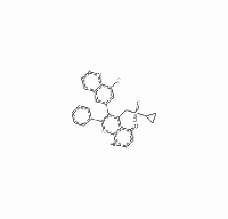 O=c1cc[nH]c2nc(-c3ccccc3)c(-c3cc(Cl)c4ncccc4c3)c(CS(=O)(=O)C3CC3)c12